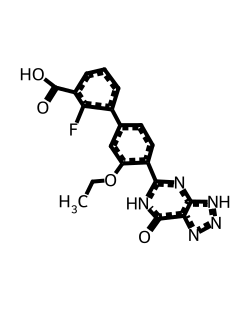 CCOc1cc(-c2cccc(C(=O)O)c2F)ccc1-c1nc2[nH]nnc2c(=O)[nH]1